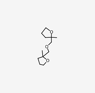 CC1(COCC2(C)CCCO2)CCCO1